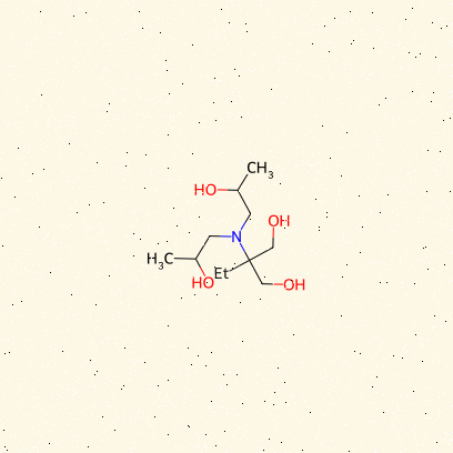 CCC(CO)(CO)N(CC(C)O)CC(C)O